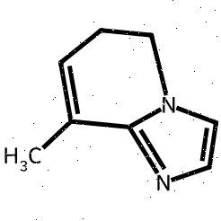 CC1=CCCn2ccnc21